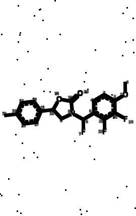 COc1ccc(C(F)N2CC(c3ccc(C)cc3)OC2=O)c(F)c1F